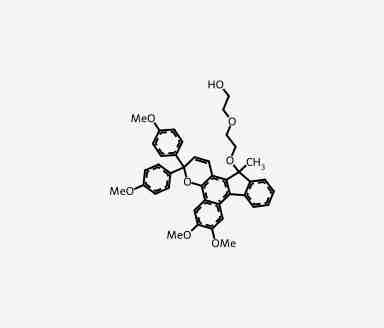 COc1ccc(C2(c3ccc(OC)cc3)C=Cc3c4c(c5cc(OC)c(OC)cc5c3O2)-c2ccccc2C4(C)OCCOCCO)cc1